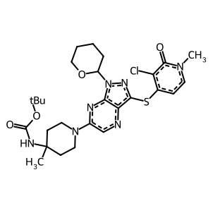 Cn1ccc(Sc2nn(C3CCCCO3)c3nc(N4CCC(C)(NC(=O)OC(C)(C)C)CC4)cnc23)c(Cl)c1=O